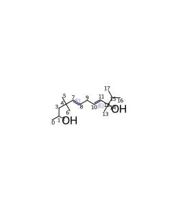 CC(O)CC(C)(C)/C=C/C/C=C/C(C)(O)C(C)C